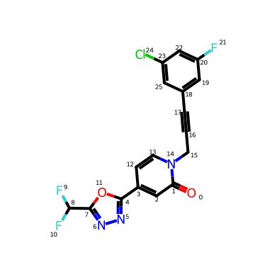 O=c1cc(-c2nnc(C(F)F)o2)ccn1CC#Cc1cc(F)cc(Cl)c1